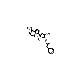 C[C@@]1(c2ccc3c(N)ncnn23)O[C@H](COC(=O)CC2CCOCC2)[C@@H](O)[C@H]1O